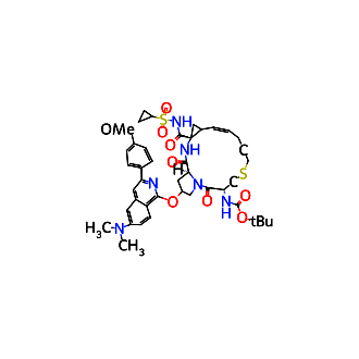 COc1ccc(-c2cc3cc(N(C)C)ccc3c(OC3C[C@H]4C(=O)N[C@]5(C(=O)NS(=O)(=O)C6CC6)CC5/C=C\CCCSC[C@H](NC(=O)OC(C)(C)C)C(=O)N4C3)n2)cc1